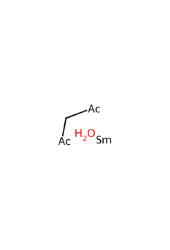 CC(=O)CC(C)=O.O.[Sm]